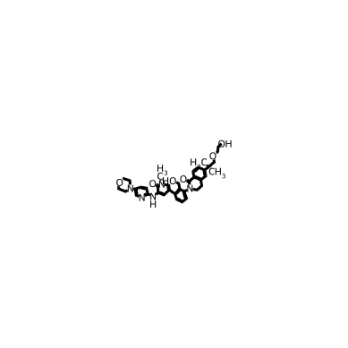 Cn1cc(-c2cccc(N3CCc4cc(C(C)(C)COCCO)ccc4C3=O)c2CO)cc(Nc2ccc(N3CCOCC3)cn2)c1=O